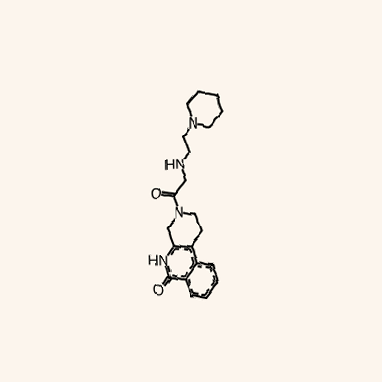 O=C(CNCCN1CCCCC1)N1CCc2c([nH]c(=O)c3ccccc23)C1